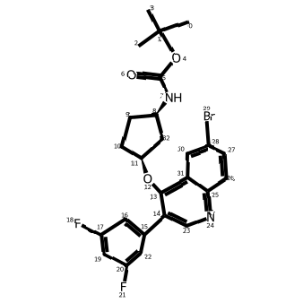 CC(C)(C)OC(=O)N[C@@H]1CC[C@H](Oc2c(-c3cc(F)cc(F)c3)cnc3ccc(Br)cc23)C1